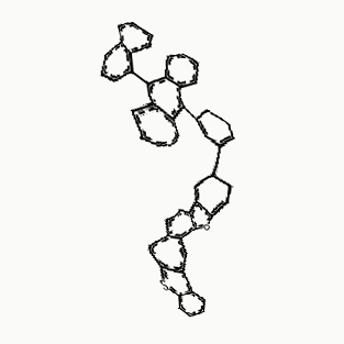 C1=C(c2c3ccccc3c(-c3cccc4ccccc34)c3ccccc23)CCC=C1C1C=c2c(oc3c2ccc2cc4sc5ccccc5c4cc23)=CC1